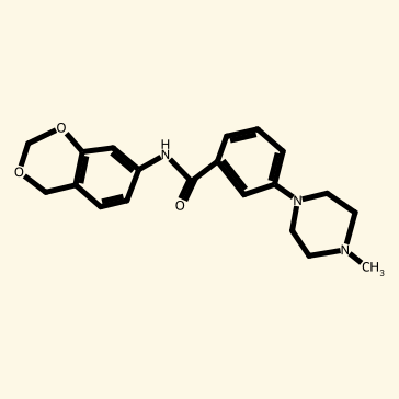 CN1CCN(c2cccc(C(=O)Nc3ccc4c(c3)OCOC4)c2)CC1